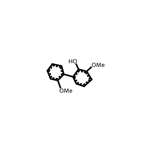 COc1ccccc1-c1cccc(OC)c1O